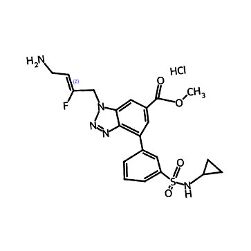 COC(=O)c1cc(-c2cccc(S(=O)(=O)NC3CC3)c2)c2nnn(C/C(F)=C/CN)c2c1.Cl